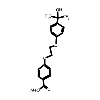 COC(=O)c1ccc(OCCOc2ccc(C(O)(C(F)(F)F)C(F)(F)F)cc2)cc1